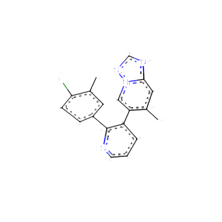 Cc1cc(-c2ncccc2-c2cn3ncnc3cc2C)ccc1F